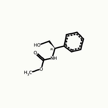 COC(=O)N[C@@H](CO)c1ccccc1